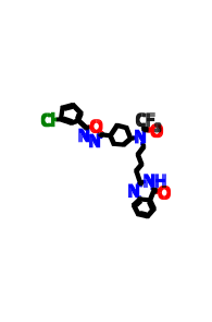 O=C(N(CCCCc1nc2ccccc2c(=O)[nH]1)C1CCC(c2nnc(-c3cccc(Cl)c3)o2)CC1)C(F)(F)F